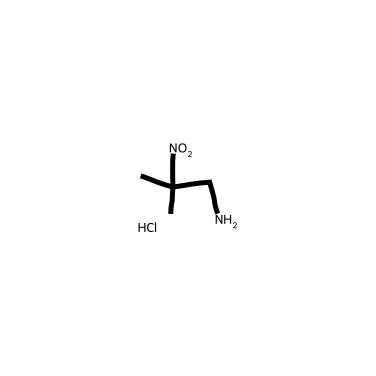 CC(C)(CN)[N+](=O)[O-].Cl